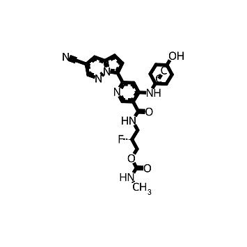 CNC(=O)OC[C@H](F)CNC(=O)c1cnc(-c2ccc3cc(C#N)cnn23)cc1NC12CCC(O)(CC1)CC2